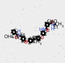 CCC(C)(CC)NC(=O)c1cc(C(=O)Nc2ccc(Oc3ccc(C(C)(C)c4ccc(Oc5ccc(C(CC)(CC)NC(=O)c6ccccc6C=O)cc5)cc4)cc3)cc2)ccc1C=O